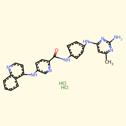 Cc1cc(Nc2ccc(NC(=O)c3ccc(Nc4ccnc5ccccc45)cn3)cc2)nc(N)n1.Cl.Cl